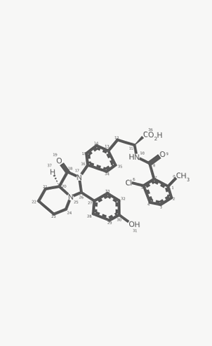 Cc1cccc(Cl)c1C(=O)N[C@@H](Cc1ccc(N2C(=O)[C@@H]3CCCCN3C2c2ccc(O)cc2)cc1)C(=O)O